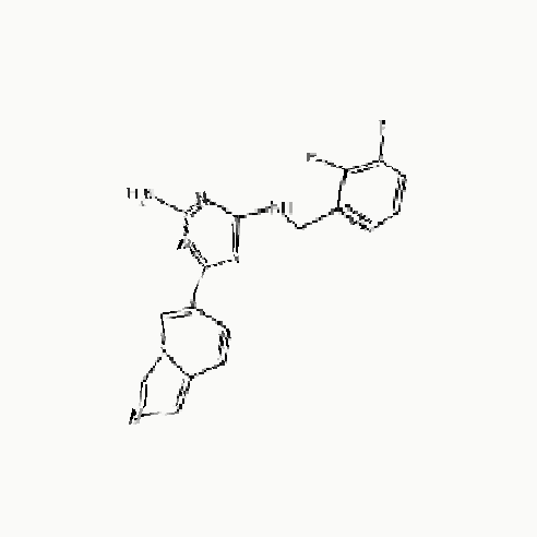 Nc1nc(NCc2cccc(F)c2F)nc(-c2ccc3cncn3c2)n1